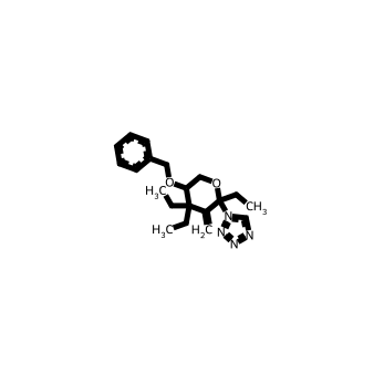 C=C1C(CC)(CC)C(OCc2ccccc2)COC1(CC)n1cnnn1